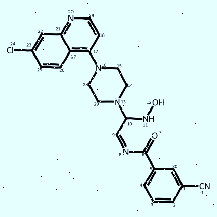 N#Cc1cccc(C(=O)/N=C\C(NO)N2CCN(c3ccnc4cc(Cl)ccc34)CC2)c1